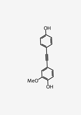 COc1cc(C#Cc2ccc(O)cc2)ccc1O